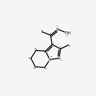 C/C(=N/O)c1c(C)nn2c1CCCC2